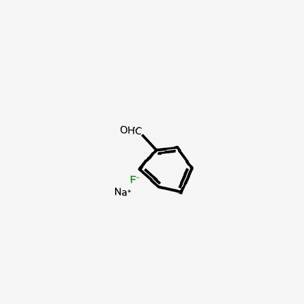 O=Cc1ccccc1.[F-].[Na+]